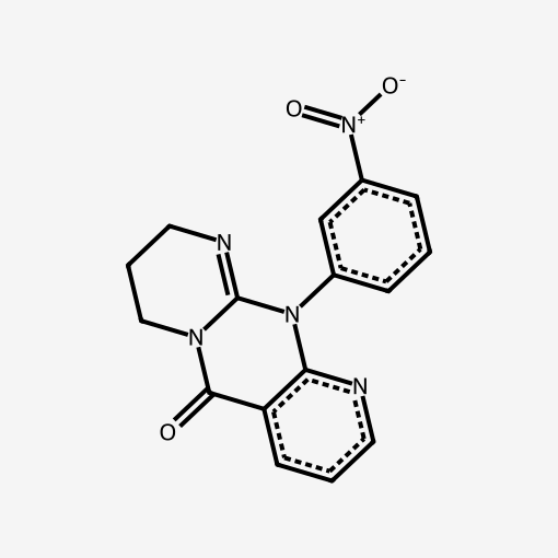 O=C1c2cccnc2N(c2cccc([N+](=O)[O-])c2)C2=NCCCN12